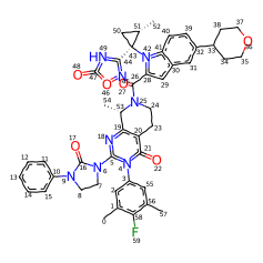 Cc1cc(-n2c(N3CCN(c4ccccc4)C3=O)nc3c(c2=O)CCN(C(=O)c2cc4cc(C5CCOCC5)ccc4n2[C@@]2(c4noc(=O)[nH]4)C[C@@H]2C)[C@H]3C)cc(C)c1F